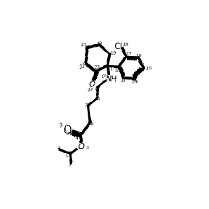 CC(C)OC(=O)CCCCNC1(c2ccccc2Cl)CCCCC1=O